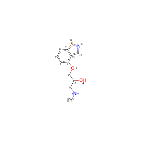 CC(C)NCC(O)COc1cccc2sncc12